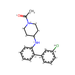 CC(=O)N1CCC(Nc2ccccc2-c2cccc(Cl)c2)CC1